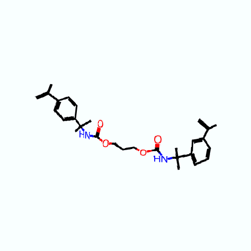 C=C(C)c1ccc(C(C)(C)NC(=O)OCCCOC(=O)NC(C)(C)c2cccc(C(=C)C)c2)cc1